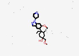 CCC12CCC(O)(COC)CC1CCOc1cc3c(cnn3-c3ccncc3)cc12